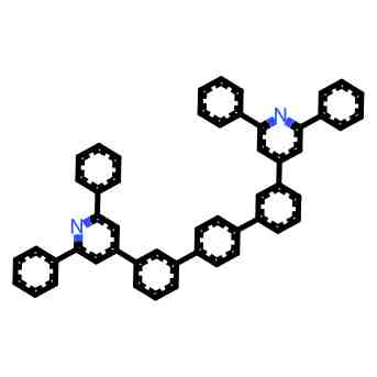 c1ccc(-c2cc(-c3cccc(-c4ccc(-c5cccc(-c6cc(-c7ccccc7)nc(-c7ccccc7)c6)c5)cc4)c3)cc(-c3ccccc3)n2)cc1